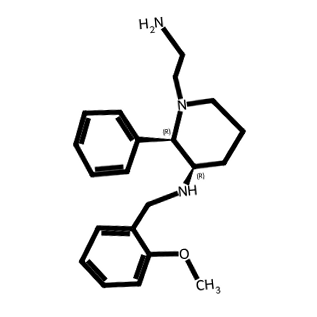 COc1ccccc1CN[C@@H]1CCCN(CCN)[C@@H]1c1ccccc1